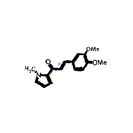 COc1ccc(/C=C/C(=O)c2cccn2C)cc1OC